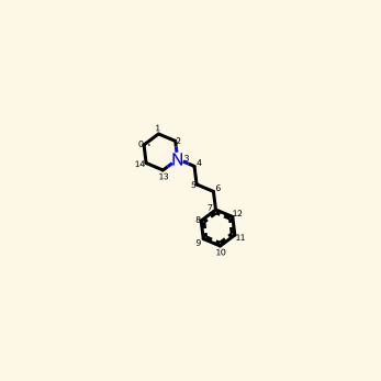 [CH]1CCN(CCCc2ccccc2)CC1